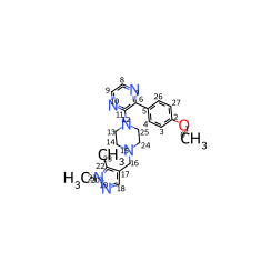 COc1ccc(-c2nccnc2N2CCN(Cc3cnn(C)c3C)CC2)cc1